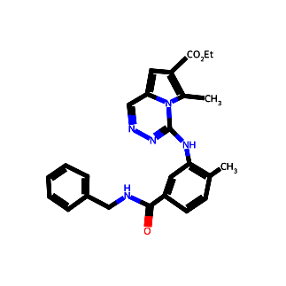 CCOC(=O)c1cc2cnnc(Nc3cc(C(=O)NCc4ccccc4)ccc3C)n2c1C